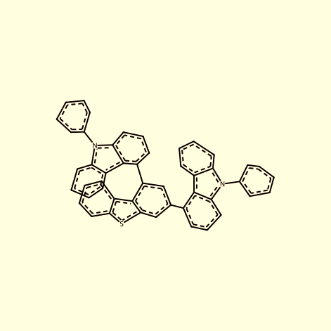 c1ccc(-n2c3ccccc3c3c(-c4cc(-c5cccc6c5c5ccccc5n6-c5ccccc5)c5c(c4)sc4ccccc45)cccc32)cc1